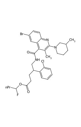 CCCC(F)OC(=O)CCC(CNC(=O)c1c(C)c(N2CCCC(C)C2)nc2ccc(Br)cc12)c1ccccc1Cl